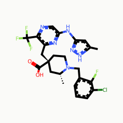 Cc1cc(Nc2cnc(C(F)(F)F)c(C[C@@]3(C(=O)O)CCN(Cc4cccc(Cl)c4F)[C@H](C)C3)n2)n[nH]1